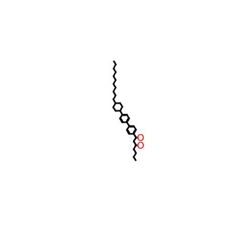 CCCCCCCCCCCC1CCC(c2ccc(-c3ccc(C(=O)CC(=O)CCCC)cc3)cc2)CC1